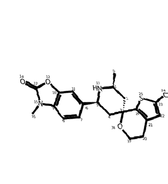 C[C@H]1C[C@@]2(C[C@@H](c3ccc4c(c3)oc(=O)n4C)N1)OCCc1cc(Cl)sc12